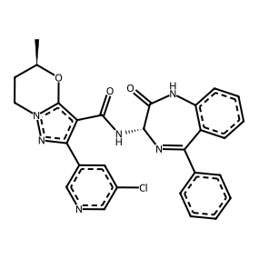 C[C@@H]1CCn2nc(-c3cncc(Cl)c3)c(C(=O)N[C@H]3N=C(c4ccccc4)c4ccccc4NC3=O)c2O1